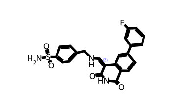 NS(=O)(=O)c1ccc(CN/C=C2\C(=O)NC(=O)c3ccc(-c4cccc(F)c4)cc32)cc1